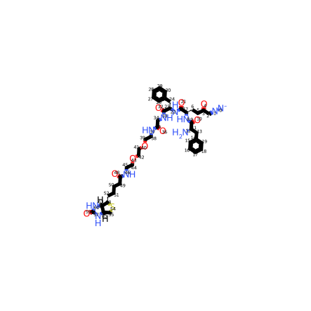 [N-]=[N+]=CC(=O)CC[C@H](NC(=O)[C@@H](N)Cc1ccccc1)C(=O)N[C@@H](Cc1ccccc1)C(=O)NCC(=O)NCCOCCOCCNC(=O)CCCC[C@@H]1SC[C@@H]2NC(=O)N[C@@H]21